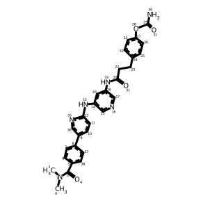 CN(C)C(=O)c1ccc(-c2ccc(Nc3cncc(NC(=O)CCc4ccc(OC(N)=O)cc4)c3)nc2)cc1